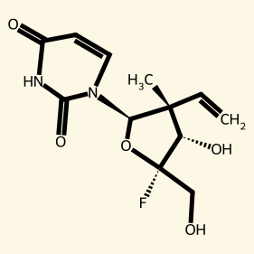 C=C[C@@]1(C)[C@H](n2ccc(=O)[nH]c2=O)O[C@](F)(CO)[C@H]1O